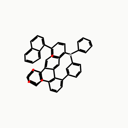 c1ccc(-c2ccccc2-c2c(-c3ccccc3)cccc2-c2cccc(N(c3ccccc3)c3ccc(-c4cccc5ccccc45)cc3)c2)cc1